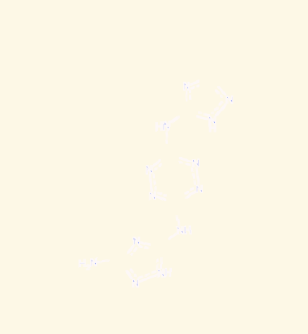 Nc1n[nH]c(Nc2nnc(Nc3nc(I)n[nH]3)nn2)n1